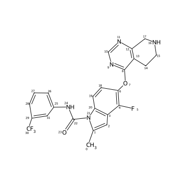 Cc1cc2c(F)c(Oc3ncnc4c3CCNC4)ccc2n1C(=O)Nc1cccc(C(F)(F)F)c1